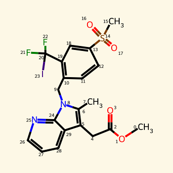 COC(=O)Cc1c(C)n(Cc2ccc(S(C)(=O)=O)cc2C(F)(F)I)c2ncccc12